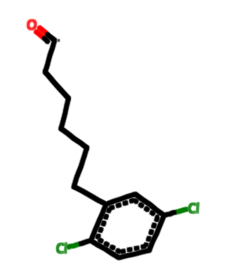 O=[C]CCCCCc1cc(Cl)ccc1Cl